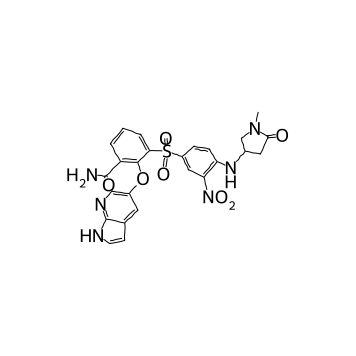 CN1CC(Nc2ccc(S(=O)(=O)c3cccc(C(N)=O)c3Oc3cnc4[nH]ccc4c3)cc2[N+](=O)[O-])CC1=O